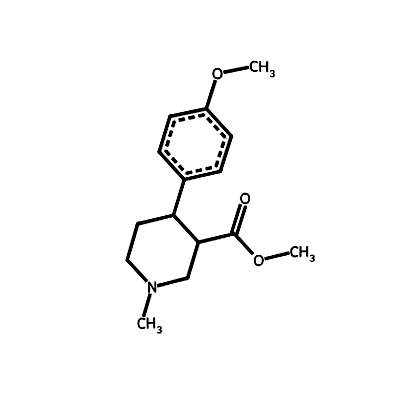 COC(=O)C1CN(C)CCC1c1ccc(OC)cc1